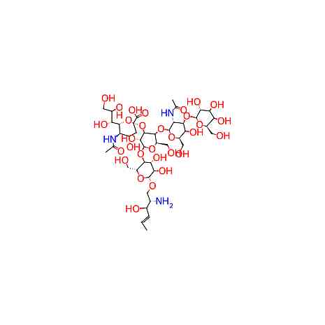 C/C=C/[C@@H](O)[C@@H](N)CO[C@@H]1O[C@H](CO)[C@@H](O[C@@H]2O[C@H](CO)[C@H](O[C@@H]3O[C@H](CO)[C@H](O)[C@H](O[C@@H]4O[C@H](CO)[C@H](O)[C@H](O)[C@H]4O)[C@H]3NC(C)=O)[C@H](O[C@]3(C(=O)O)C[C@H](O)[C@@H](NC(C)=O)[C@H]([C@H](O)[C@H](O)CO)O3)[C@H]2O)[C@H](O)[C@H]1O